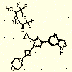 O=C(O)C(F)(F)F.O=C(O)C(F)(F)F.c1cc2ncc(-c3cn(C45CC(N6CCOCC6)(C4)C5)c(C4CC4)n3)cc2[nH]1